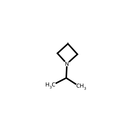 CC(C)N1C[CH]C1